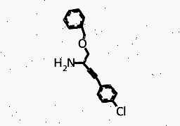 NC(C#Cc1ccc(Cl)cc1)COCc1ccccc1